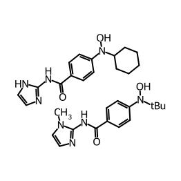 Cn1ccnc1NC(=O)c1ccc(N(O)C(C)(C)C)cc1.O=C(Nc1ncc[nH]1)c1ccc(N(O)C2CCCCC2)cc1